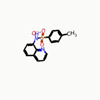 Cc1ccc(S(=O)(=O)[NH+]([O-])c2cccc3cccnc23)cc1